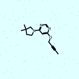 CC#CCOc1cc(N2CCC(C)(C)C2)ncn1